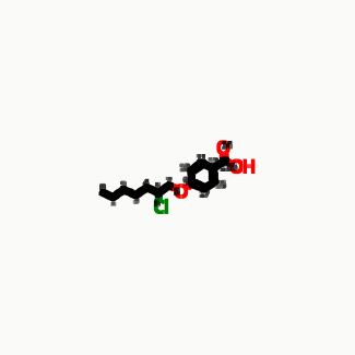 CCCCCC(Cl)COc1ccc(C(=O)O)cc1